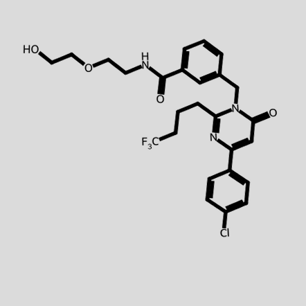 O=C(NCCOCCO)c1cccc(Cn2c(CCCC(F)(F)F)nc(-c3ccc(Cl)cc3)cc2=O)c1